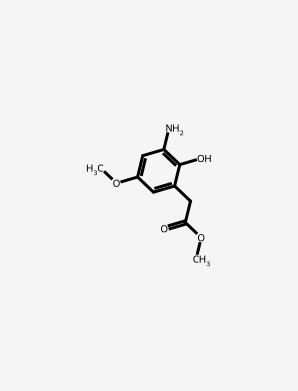 COC(=O)Cc1cc(OC)cc(N)c1O